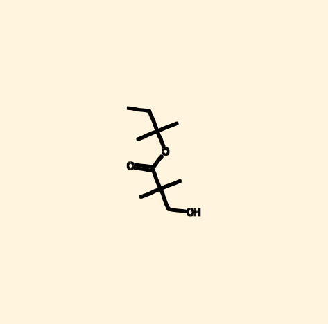 CCC(C)(C)OC(=O)C(C)(C)CO